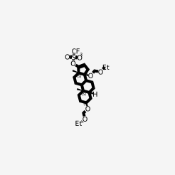 CCOCO[C@H]1CC[C@]2(C)C3CC[C@]4(C)C(OS(=O)(=O)C(F)(F)F)=CC[C@]4(OCOCC)C3CC[C@@H]2C1